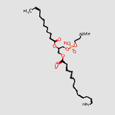 C/C=C\CCCCCCCC(=O)OC(COC(=O)CCCCCCC/C=C\C/C=C\CCC)COP(=O)(O)OCCNC